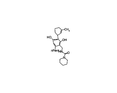 CCCCCc1cc(O)c(C2C=C(C)CCC2)c(O)c1CNC(=O)N1CCCCC1